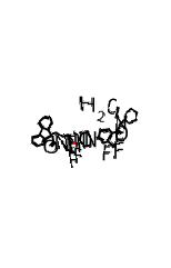 C=CCN(C(=O)c1ccc(N2CCN(CCCCC3(C(=O)NCC(F)(F)F)c4ccccc4-c4ccccc43)CC2)cc1C(F)(F)F)C1CCCCC1